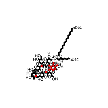 CCCCCCCCCCCCC/C=C/[C@@H](O)[C@H](CO[C@@H]1OC(CO)[C@@H](O[C@@H]2OC(CO)[C@H](O)[C@H](O[C@@H]3OC(CO)[C@@H](O[C@H]4OC(C)[C@@H](O)C(O)[C@@H]4O)[C@H](O[C@@H]4OC(CO)[C@H](O)[C@H](O[C@@H]5OC(CO)[C@@H](O[C@@H]6OC(CO)[C@H](O)[C@H](O)C6O)[C@H](O[C@H]6OC(C)[C@@H](O)C(O)[C@@H]6O)C5NC(C)=O)C4O)C3NC(C)=O)C2O)[C@H](O)C1O)NC(=O)CCCCCCCCCCCCCCCCCCCCCCCCC